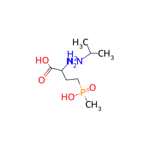 CC(C)N.CP(=O)(O)CCC(N)C(=O)O